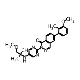 COCC(C)(C)Nc1cnc(-n2ncc3cc(-c4cccc(OC)c4C)ccc3c2=O)nc1